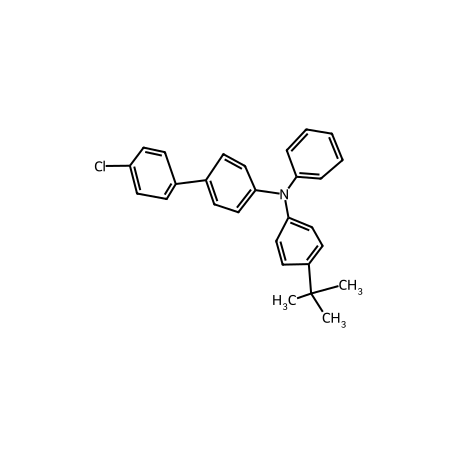 CC(C)(C)c1ccc(N(c2ccccc2)c2ccc(-c3ccc(Cl)cc3)cc2)cc1